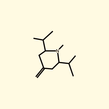 C=C1CC(C(C)C)N(C)C(C(C)C)C1